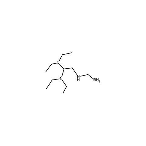 CCN(CC)C(CNC[SiH3])N(CC)CC